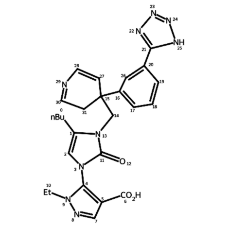 CCCCc1cn(-c2c(C(=O)O)cnn2CC)c(=O)n1CC1(c2cccc(-c3nnn[nH]3)c2)C=CN=CC1